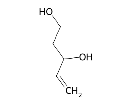 C=CC(O)CCO